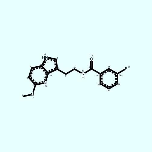 COc1ccc2[nH]cc(CCNC(=O)c3cccc(F)c3)c2n1